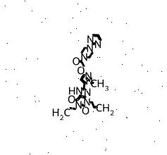 C=CCn1c(=O)c2[nH]c(-c3cc(OCC(=O)N4CCN(c5ncccn5)CC4)nn3C)nc2n(CC=C)c1=O